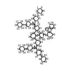 c1ccc(-c2ccc(N(c3ccc(-c4ccccc4)cc3)c3cccc(-c4cccc(-c5cccc(N(c6ccc(-c7ccccc7)cc6)c6ccc(-c7ccccc7)cc6)c5)c4-c4ccc(-c5cccc6c5oc5ccccc56)cc4)c3)cc2)cc1